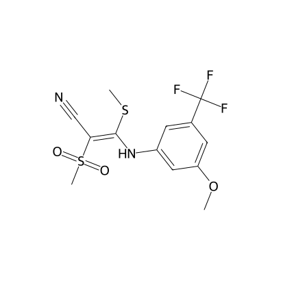 COc1cc(NC(SC)=C(C#N)S(C)(=O)=O)cc(C(F)(F)F)c1